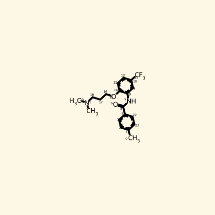 Cc1ccc(C(=O)Nc2cc(C(F)(F)F)ccc2OCCCN(C)C)cc1